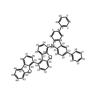 c1ccc(-c2ccc3c(c2)c2cc(-c4ccccc4)ccc2n3-c2cccc3c2oc2cccc(-c4cccc5c4oc4ccccc45)c23)cc1